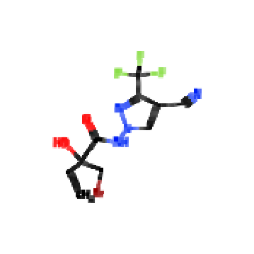 C=CC(O)(CBr)C(=O)Nn1cc(C#N)c(C(F)(F)F)n1